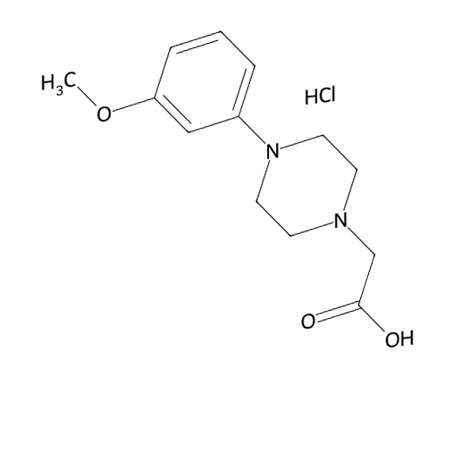 COc1cccc(N2CCN(CC(=O)O)CC2)c1.Cl